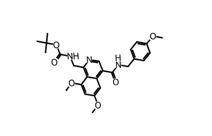 COc1ccc(CNC(=O)c2cnc(CNC(=O)OC(C)(C)C)c3c(OC)cc(OC)cc23)cc1